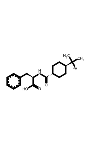 [2H]C(C)(C)[C@H]1CC[C@H](C(=O)N[C@H](Cc2ccccc2)C(=O)O)CC1